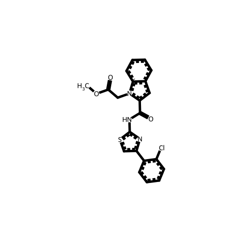 COC(=O)Cn1c(C(=O)Nc2nc(-c3ccccc3Cl)cs2)cc2ccccc21